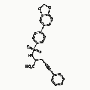 O=C(O)C(CC#Cc1ccccc1)NS(=O)(=O)c1ccc(-c2ccc3c(c2)OCO3)cc1